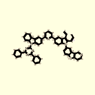 C=Cc1c(/C=C\C)n(-c2ccc3sc4ccncc4c3c2)c2ccc(-c3cccc(-c4ccc5c(c4)c4ccccc4n5-c4nc(-c5ccccc5)nc(-c5ccccc5)n4)n3)cc12